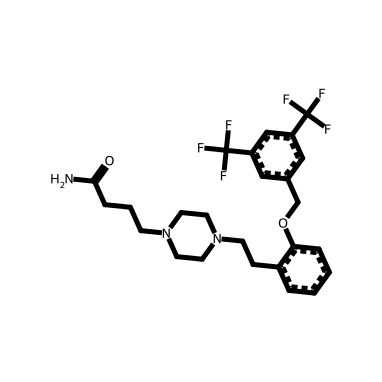 NC(=O)CCCN1CCN(CCc2ccccc2OCc2cc(C(F)(F)F)cc(C(F)(F)F)c2)CC1